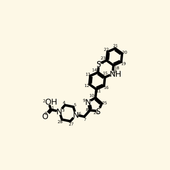 O=C(O)N1CCN(Cc2nc(-c3ccc4c(c3)Nc3ccccc3S4)cs2)CC1